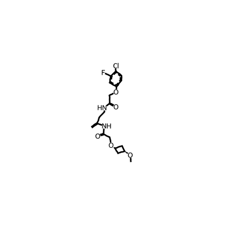 C=C(CCNC(=O)COc1ccc(Cl)c(F)c1)NC(=O)CO[C@H]1C[C@H](OC)C1